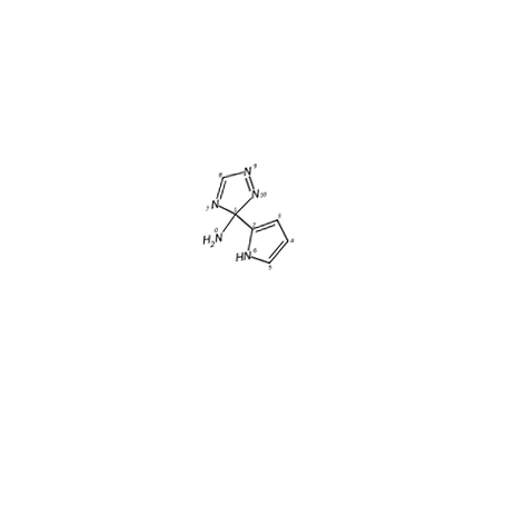 NC1(c2ccc[nH]2)N=CN=N1